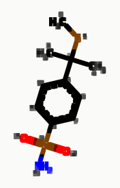 CSC(C)(C)c1ccc(S(N)(=O)=O)cc1